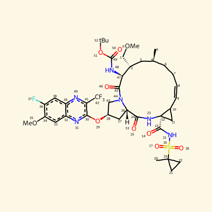 COC[C@@H]1C[C@@H](C)CC/C=C\C2C[C@@]2(C(=O)NS(=O)(=O)C2(C)CC2)NC(=O)[C@@H]2C[C@@H](Oc3nc4cc(OC)c(F)cc4nc3C(F)(F)F)CN2C(=O)[C@H]1NC(=O)OC(C)(C)C